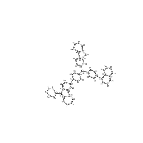 c1ccc(-n2c3ccccc3c3cc(-c4ccc(N(c5ccc(-c6cccc7ccccc67)cc5)c5ccc6c(c5)sc5ccccc56)cc4)ccc32)cc1